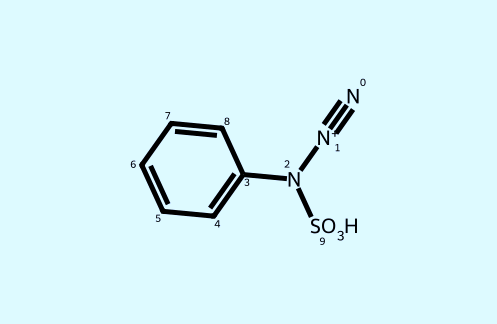 N#[N+]N(c1ccccc1)S(=O)(=O)O